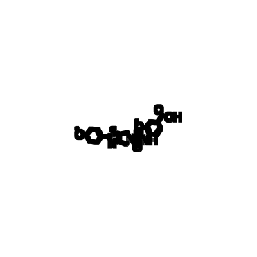 COc1cc(C(=O)O)ccc1NS(=O)(=O)N1Cc2nc(C3=CCC(OC)CC3)sc2C1